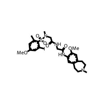 COc1cc(C)c(S(=O)(=O)N(C)CC(=O)NCC(=O)Nc2cc3c(cc2OC)CCN(C)CC3)c(I)c1